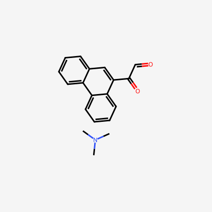 CN(C)C.O=CC(=O)c1cc2ccccc2c2ccccc12